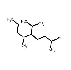 CCCN(C)C(CCC(C)C)C(C)C